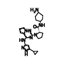 NC1CCC(NC(=O)[C@@H]2CCCN2c2nc(Nc3cc(C4CC4)[nH]n3)c3cccn3n2)CC1